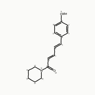 COc1ccc(/C=C/C=C/C(=O)N2CCCCC2)cc1